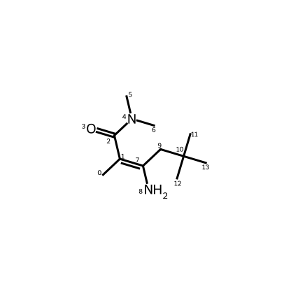 CC(C(=O)N(C)C)=C(N)CC(C)(C)C